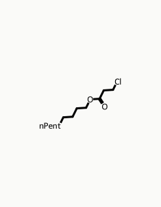 CCCCCCCCCOC(=O)CCCl